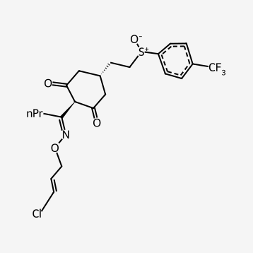 CCCC(=NOCC=CCl)[C@H]1C(=O)C[C@H](CC[S+]([O-])c2ccc(C(F)(F)F)cc2)CC1=O